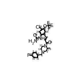 CC1CN(Cc2ccc(F)cc2)CCN1C(=O)C=Cc1cc(OC(F)(F)F)c(Cl)cc1NC(N)=O